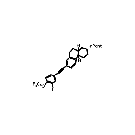 CCCCC[C@@H]1CC[C@@H]2c3ccc(C#Cc4ccc(OC(F)(F)F)c(F)c4)cc3CC[C@@H]2C1